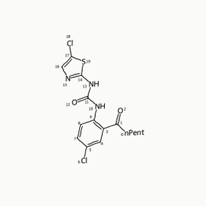 CCCCCC(=O)c1cc(Cl)ccc1NC(=O)Nc1ncc(Cl)s1